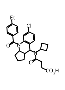 CCc1ccc(C(=O)N2c3cc(Cl)ccc3C(N(C(=O)CCC(=O)O)C3CCC3)C3CCCC32)cc1